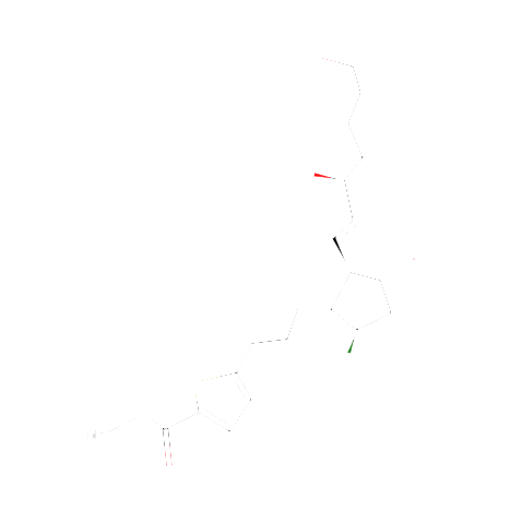 CCCOC(=O)c1ccc(CCC[C@@H]2[C@@H](/C=C/[C@@H](O)CCC[C@@H](C)O)[C@H](O)C[C@H]2Cl)s1